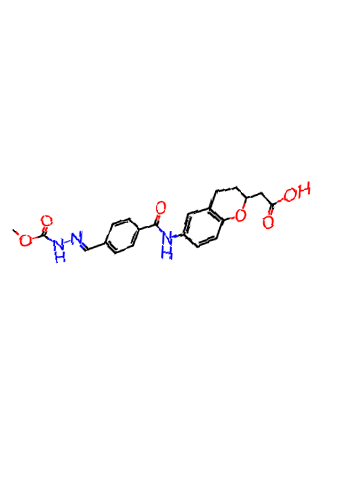 COC(=O)NN=Cc1ccc(C(=O)Nc2ccc3c(c2)CCC(CC(=O)O)O3)cc1